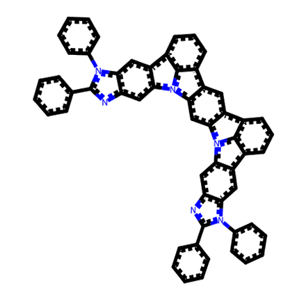 c1ccc(-c2nc3cc4c(cc3n2-c2ccccc2)c2cccc3c5cc6c7cccc8c9cc%10c(cc9n(c6cc5n4c23)c87)nc(-c2ccccc2)n%10-c2ccccc2)cc1